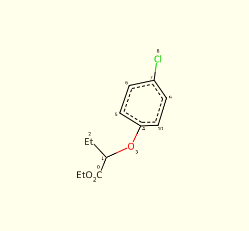 CCOC(=O)C(CC)Oc1ccc(Cl)cc1